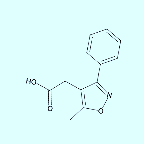 Cc1onc(-c2ccccc2)c1CC(=O)O